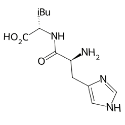 CCC(C)[C@H](NC(=O)[C@@H](N)Cc1c[nH]cn1)C(=O)O